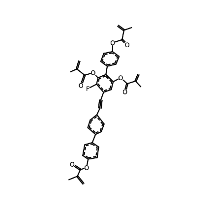 C=C(C)C(=O)Oc1ccc(-c2ccc(C#Cc3cc(OC(=O)C(=C)C)c(-c4ccc(OC(=O)C(=C)C)cc4)c(OC(=O)C(=C)C)c3F)cc2)cc1